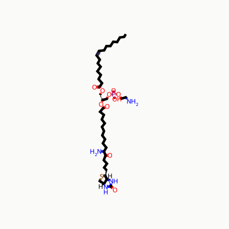 CCCCCCCC/C=C\CCCCCCCC(=O)OC[C@H](COP(=O)(O)OCCN)OC(=O)CCCCCCCCCCC(N)C(=O)CCCC[C@@H]1SC[C@@H]2NC(=O)N[C@@H]21